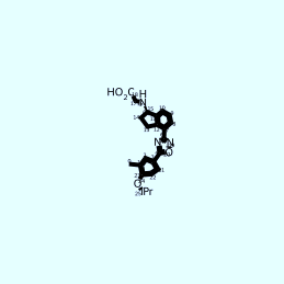 Cc1cc(-c2nc(-c3cccc4c3CC[C@H]4NCC(=O)O)no2)ccc1OC(C)C